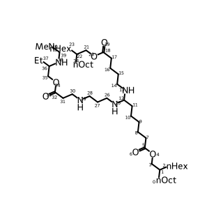 CCCCCCCCC(CCCCCC)COC(=O)CCCCCC(NCCCCC(=O)OCC(CCCCCC)CCCCCCCC)NCCCNCCC(=O)OCC(CC)NCNC